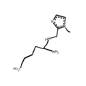 Cn1ccnc1CNC(N)CCCC(=O)O